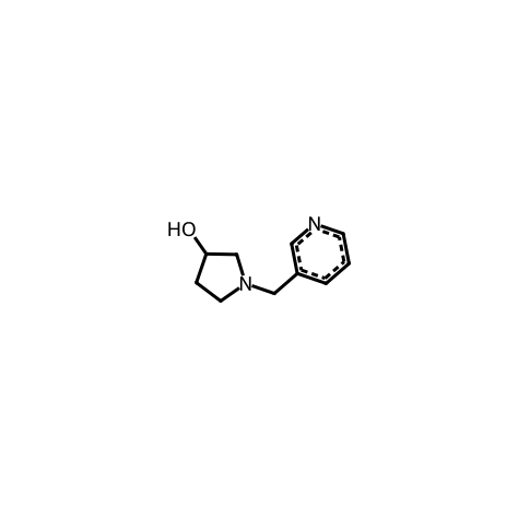 OC1CCN(Cc2cccnc2)C1